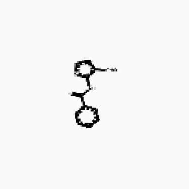 O=Cc1ccsc1NC(=O)c1ccccc1